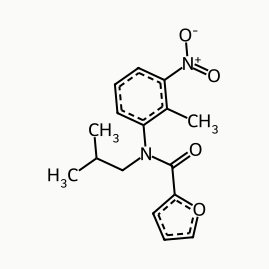 Cc1c(N(CC(C)C)C(=O)c2ccco2)cccc1[N+](=O)[O-]